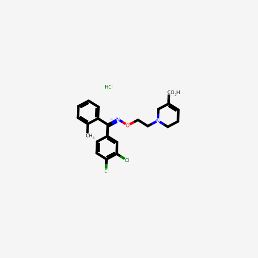 Cc1ccccc1/C(=N/OCCN1CCC=C(C(=O)O)C1)c1ccc(Cl)c(Cl)c1.Cl